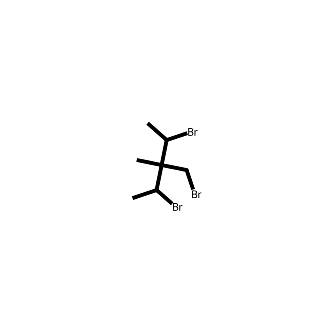 CC(Br)C(C)(CBr)C(C)Br